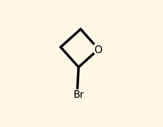 BrC1CCO1